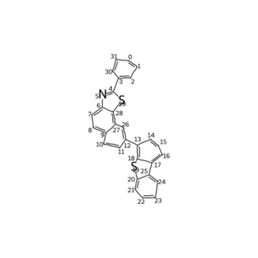 c1ccc(-c2nc3ccc4ccc(-c5cccc6c5sc5ccccc56)cc4c3s2)cc1